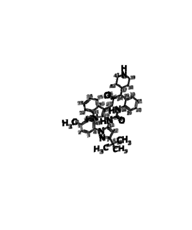 Cc1ccc(-n2nc(C(C)(C)C)cc2NC(=O)Nc2ccccc2C(C(=O)Cc2c[nH]c3ccccc23)C2CCNCC2)cc1